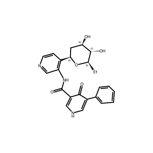 CC[C@H]1O[C@@H](c2ccncc2NC(=O)c2c[nH]cc(-c3ccccc3)c2=O)C[C@@H](O)[C@@H]1O